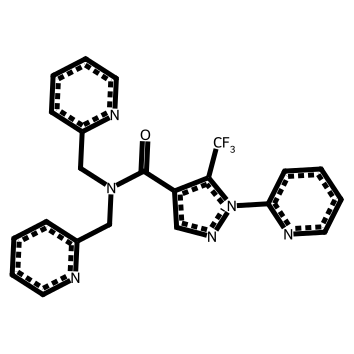 O=C(c1cnn(-c2ccccn2)c1C(F)(F)F)N(Cc1ccccn1)Cc1ccccn1